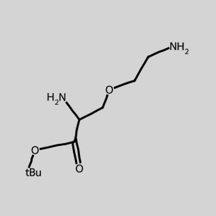 CC(C)(C)OC(=O)C(N)COCCN